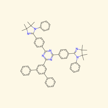 CC1(C)N=C(c2ccc(-c3nc(-c4ccc(C5=NC(C)(C)C(C)(C)N5c5ccccc5)cc4)nc(-c4cc(-c5ccccc5)cc(-c5ccccc5)c4)n3)cc2)N(c2ccccc2)C1(C)C